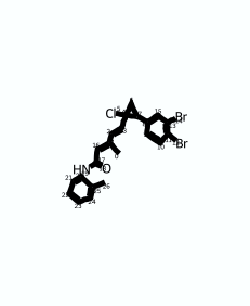 CC(/C=C/C1(Cl)CC1c1ccc(Br)c(Br)c1)=C\C(=O)Nc1ccccc1C